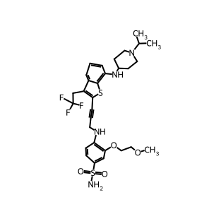 COCCOc1cc(S(N)(=O)=O)ccc1NCC#Cc1sc2c(NC3CCN(C(C)C)CC3)cccc2c1CC(F)(F)F